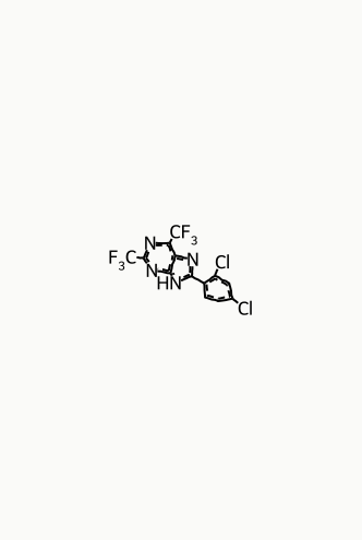 FC(F)(F)c1nc(C(F)(F)F)c2nc(-c3ccc(Cl)cc3Cl)[nH]c2n1